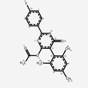 CC(=O)Oc1sc(-c2ccc(F)cc2)nc(=O)c1-c1c(C)cc(C)cc1C